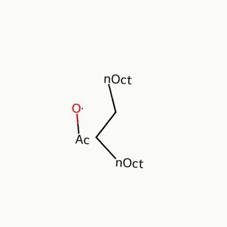 CC([O])=O.[CH2]CCCCCCCCCCCCCCCCC